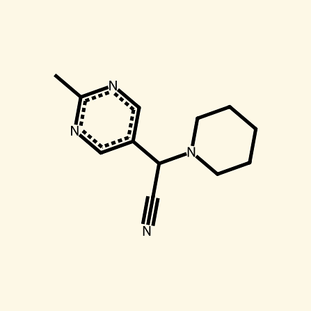 Cc1ncc(C(C#N)N2CCCCC2)cn1